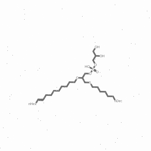 CCCCCC/C=C/CCCCCCCCOC(COP(=O)(O)OCC(O)CO)CSCCCCCCCCCCCCCCCC